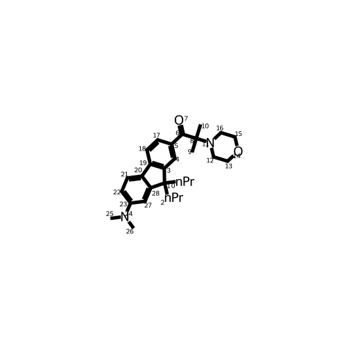 CCCC1(CCC)c2cc(C(=O)C(C)(C)N3CCOCC3)ccc2-c2ccc(N(C)C)cc21